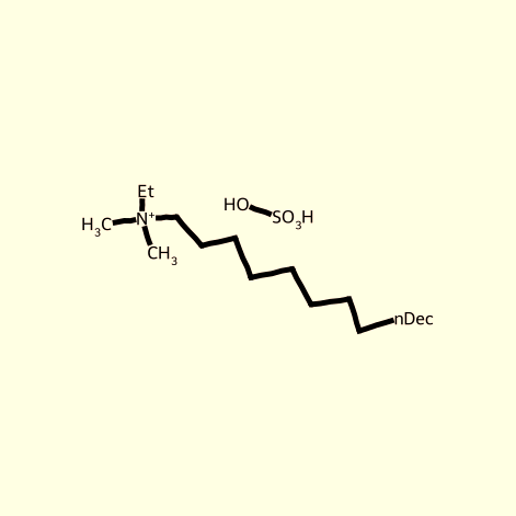 CCCCCCCCCCCCCCCCCC[N+](C)(C)CC.O=S(=O)(O)O